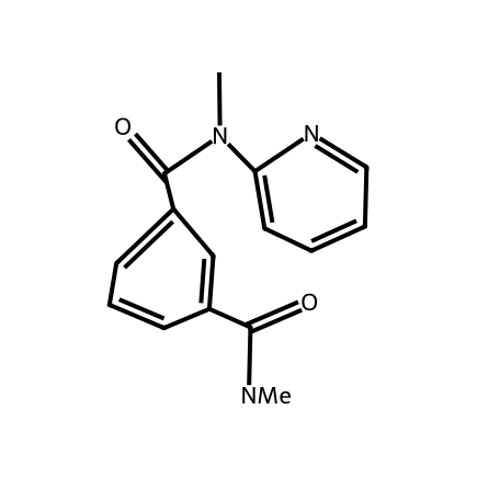 CNC(=O)c1cccc(C(=O)N(C)c2ccccn2)c1